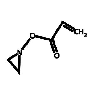 C=CC(=O)ON1CC1